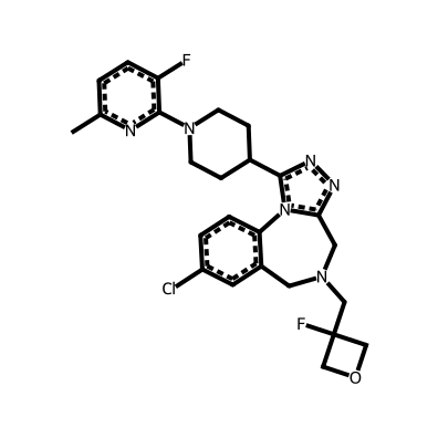 Cc1ccc(F)c(N2CCC(c3nnc4n3-c3ccc(Cl)cc3CN(CC3(F)COC3)C4)CC2)n1